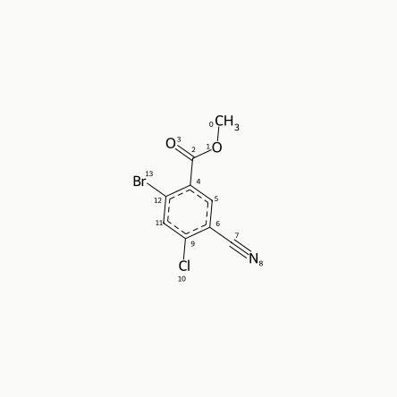 COC(=O)c1cc(C#N)c(Cl)cc1Br